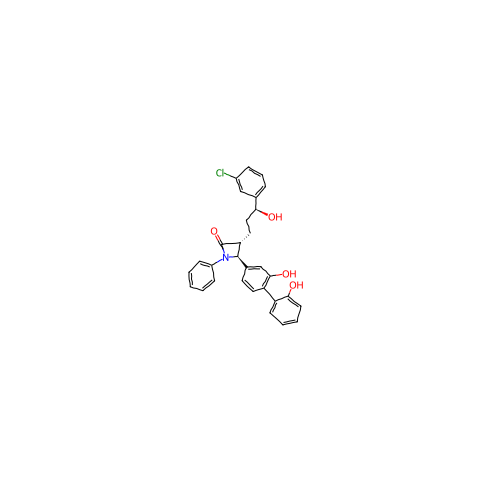 O=C1[C@H](CC[C@H](O)c2cccc(Cl)c2)[C@@H](c2ccc(-c3ccccc3O)c(O)c2)N1c1ccccc1